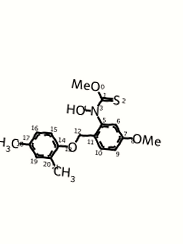 COC(=S)N(O)c1cc(OC)ccc1COc1ccc(C)cc1C